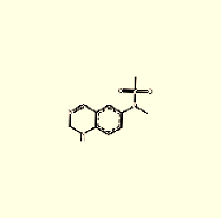 CN(c1ccc2c(c1)C=NCN2)S(C)(=O)=O